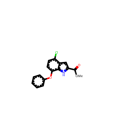 COC(=O)c1cc2c(Cl)ccc(Oc3ccccc3)c2[nH]1